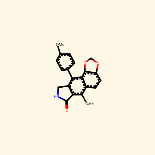 COc1ccc(-c2c3c(c(OC)c4ccc5c(c24)OCO5)C(=O)NC3)cc1